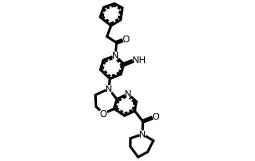 N=c1cc(N2CCOc3cc(C(=O)N4CCCCC4)cnc32)ccn1C(=O)Cc1ccccc1